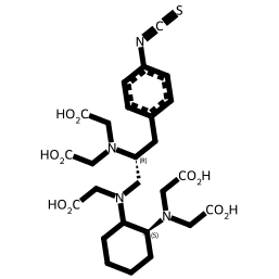 O=C(O)CN(C[C@@H](Cc1ccc(N=C=S)cc1)N(CC(=O)O)CC(=O)O)C1CCCC[C@@H]1N(CC(=O)O)CC(=O)O